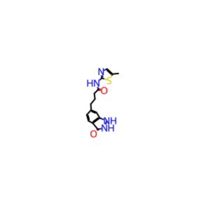 Cc1cnc(NC(=O)CCCc2ccc3c(=O)[nH][nH]c3c2)s1